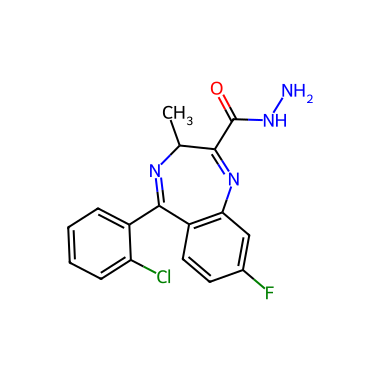 CC1N=C(c2ccccc2Cl)c2ccc(F)cc2N=C1C(=O)NN